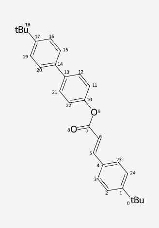 CC(C)(C)c1ccc(/C=C/C(=O)Oc2ccc(-c3ccc(C(C)(C)C)cc3)cc2)cc1